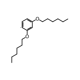 CCCCCCOc1[c]ccc(OCCCCCC)c1